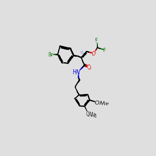 COc1ccc(CCNC(=O)/C(=C\OC(F)F)c2ccc(Br)cc2)cc1OC